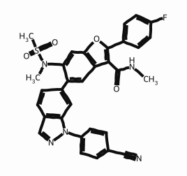 CNC(=O)c1c(-c2ccc(F)cc2)oc2cc(N(C)S(C)(=O)=O)c(-c3ccc4cnn(-c5ccc(C#N)cc5)c4c3)cc12